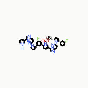 CC(C)(C)OC(=O)N1CC(c2cnc3ccc(N4CCC[C@@H]4c4cccc(F)c4)nn23)=CCC1c1cc(F)cc([C@H]2CCCN2c2ccc3ncc(C4=CCCNC4)n3n2)c1